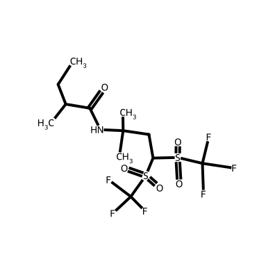 CCC(C)C(=O)NC(C)(C)CC(S(=O)(=O)C(F)(F)F)S(=O)(=O)C(F)(F)F